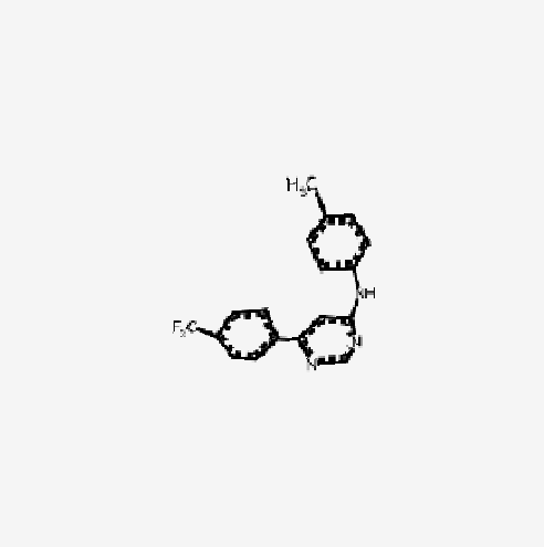 Cc1ccc(Nc2cc(-c3ccc(C(F)(F)F)cc3)ncn2)cc1